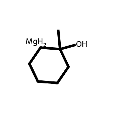 CC1(O)CCCCC1.[MgH2]